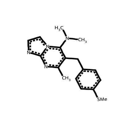 CSc1ccc(Cc2c(C)nc3nccn3c2N(C)C)cc1